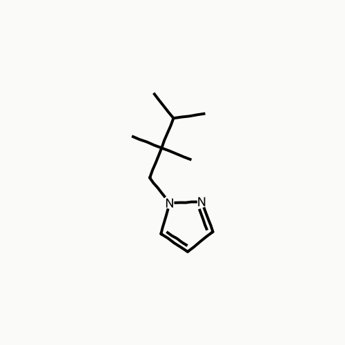 CC(C)C(C)(C)Cn1cccn1